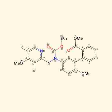 COC(=O)c1ccccc1-c1cc(N(Cc2ncc(C)c(OC)c2C)C(=O)OC(C)(C)C)ccc1OC